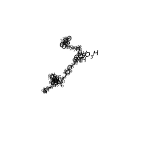 CC1=CC(/C=C/c2ccc(OCCCC(=O)NC(CS(=O)(=O)O)C(=O)NCCN(C)CCCCCC(=O)ON3C(=O)CCC3=O)cc2)=[N+]2C1=Cc1c(CCC[N+](C)(C)C)cc(-c3cccs3)n1[B-]2(F)F